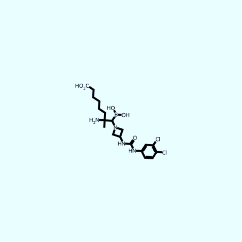 CC(N)(CCCCCC(=O)O)C(B(O)O)N1CC(NC(=O)Nc2ccc(Cl)c(Cl)c2)C1